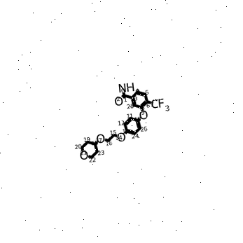 NC(=O)c1ccc(C(F)(F)F)c(Oc2ccc(OCCOC3CCOCC3)cc2)c1